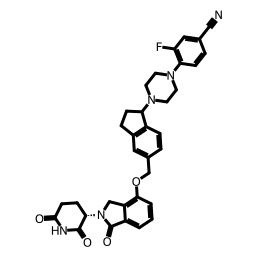 N#Cc1ccc(N2CCN(C3CCc4cc(COc5cccc6c5CN([C@H]5CCC(=O)NC5=O)C6=O)ccc43)CC2)c(F)c1